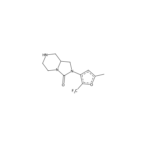 Cc1cc(N2CC3CNCCN3C2=O)c(C(F)(F)F)o1